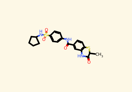 CC1Sc2ccc(C(=O)Nc3ccc(S(=O)(=O)NC4CCCC4)cc3)cc2NC1=O